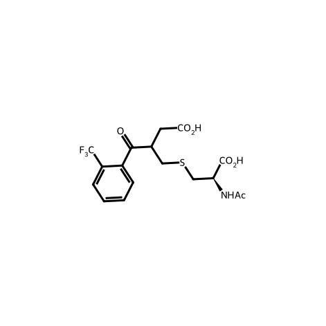 CC(=O)N[C@@H](CSCC(CC(=O)O)C(=O)c1ccccc1C(F)(F)F)C(=O)O